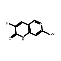 CNc1cc2[nH]c(=O)c(Br)cc2cn1